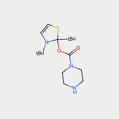 CC(C)(C)N1C=CSC1(OC(=O)N1CCNCC1)C(C)(C)C